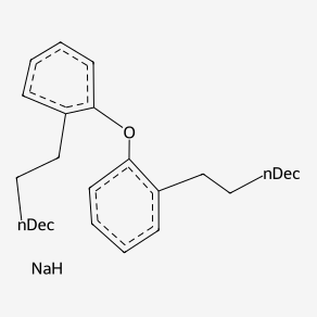 CCCCCCCCCCCCc1ccccc1Oc1ccccc1CCCCCCCCCCCC.[NaH]